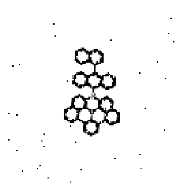 c1cc2c3c(c1)-c1cccc4ccc5c(c14)B3c1c(ccc3cccc-2c13)N5c1c2ccccc2c(-c2cccc3ccccc23)c2ccccc12